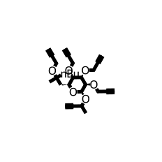 C#CCO[C@@H]1[C@@H](OCC#C)[C@@H](OC(C)C#C)O[C@H](CC(C)(CCCC)OCC#C)[C@H]1OCC#C